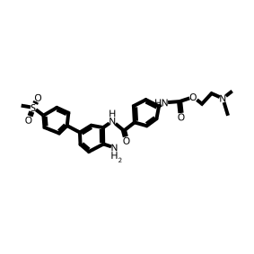 CN(C)CCOC(=O)Nc1ccc(C(=O)Nc2cc(-c3ccc(S(C)(=O)=O)cc3)ccc2N)cc1